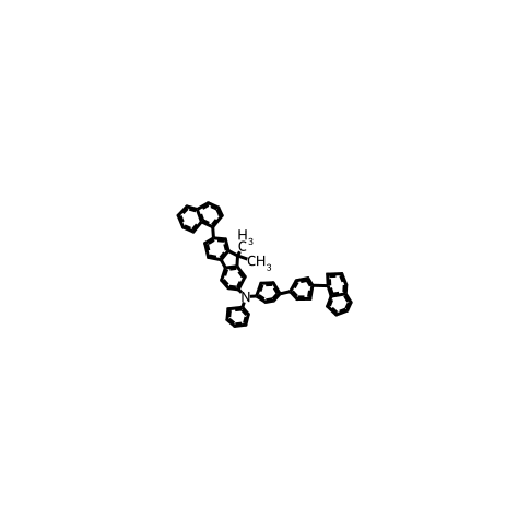 CC1(C)c2cc(-c3cccc4ccccc34)ccc2-c2ccc(N(c3ccccc3)c3ccc(-c4ccc(-c5cccc6ccccc56)cc4)cc3)cc21